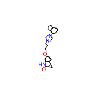 O=C1Nc2cc(OCCCCN3CCN(c4cccc5c4CCC5)CC3)ccc2C2CC12